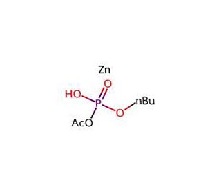 CCCCOP(=O)(O)OC(C)=O.[Zn]